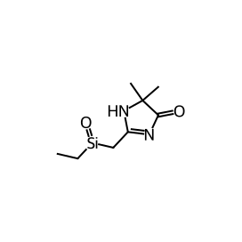 CC[Si](=O)CC1=NC(=O)C(C)(C)N1